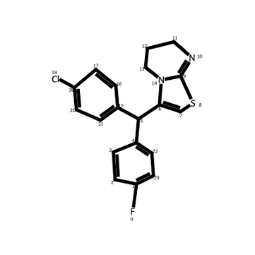 Fc1ccc(C(C2=CSC3=NCCCN23)c2ccc(Cl)cc2)cc1